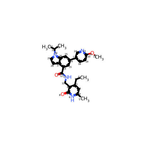 CCc1cc(C)[nH]c(=O)c1CNC(=O)c1cc(-c2ccc(OC)nc2)cc2c1ccn2C(C)C